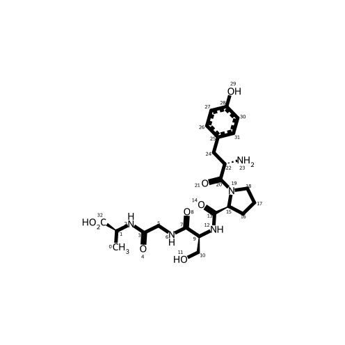 C[C@H](NC(=O)CNC(=O)[C@H](CO)NC(=O)[C@@H]1CCCN1C(=O)[C@@H](N)Cc1ccc(O)cc1)C(=O)O